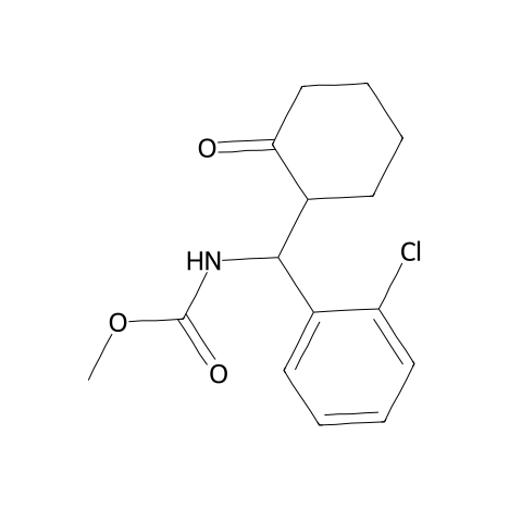 COC(=O)NC(c1ccccc1Cl)C1CCCCC1=O